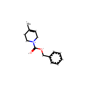 CC(C)(C)C1=CCN(C(=O)OCc2ccccc2)CC1